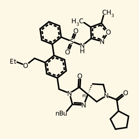 CCCCC1=N[C@@]2(CCN(C(=O)C3CCCC3)C2)C(=O)N1Cc1ccc(-c2ccccc2S(=O)(=O)Nc2noc(C)c2C)c(COCC)c1